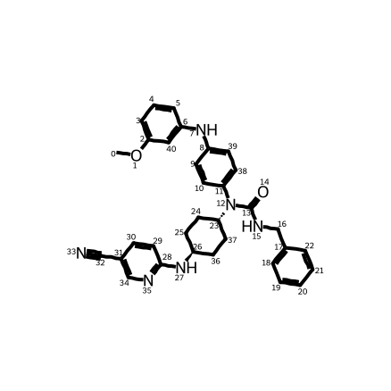 COc1cccc(Nc2ccc(N(C(=O)NCc3ccccc3)[C@H]3CC[C@H](Nc4ccc(C#N)cn4)CC3)cc2)c1